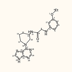 CCOc1cccc(NCC(=O)N[C@@H]2CCCN(c3ncnc4[nH]ccc34)C2)c1